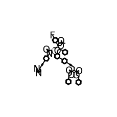 CC(=O)O[C@@H](CC[C@H]1C(=O)N(c2ccc(C#Cc3cncn3C)cc2)[C@@H]1c1ccc(-c2ccc(C#CCC(C(=O)OCc3ccccc3)C(=O)OCc3ccccc3)cc2)cc1OCc1ccccc1)c1ccc(F)cc1